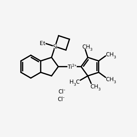 CC[Si]1(C2C3=CC=CCC3C[CH]2[Ti+2][C]2=C(C)C(C)=C(C)C2(C)C)CCC1.[Cl-].[Cl-]